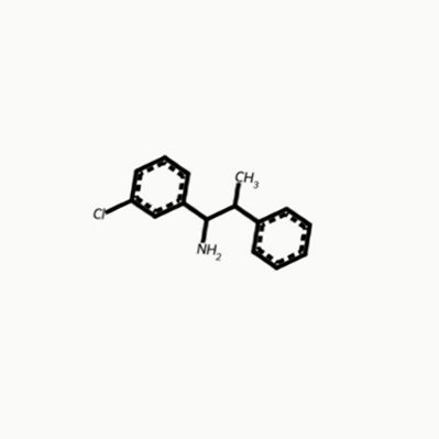 CC(c1ccccc1)C(N)c1cccc(Cl)c1